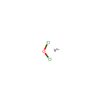 ClOCl.[V+5]